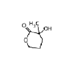 CC1(O)CCCOC1=O